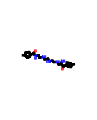 Cc1ccc(C(=O)NCCNCCNCCNCC(N)C(=O)c2ccc(C)cc2)cc1